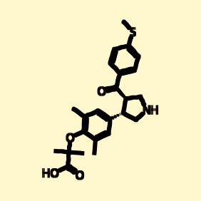 CSc1ccc(C(=O)[C@H]2CNC[C@@H]2c2cc(C)c(OC(C)(C)C(=O)O)c(C)c2)cc1